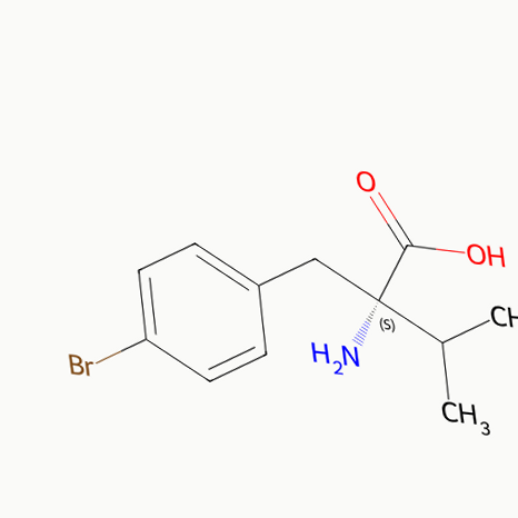 CC(C)[C@@](N)(Cc1ccc(Br)cc1)C(=O)O